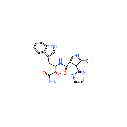 CC1=NC=C(C(=O)NC(Cc2c[nH]c3ccccc23)C(=O)C(N)=O)C1c1ncccn1